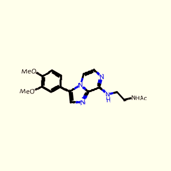 COc1ccc(-c2cnc3c(NCCNC(C)=O)nccn23)cc1OC